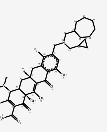 CN(C)[C@@H]1C(O)=C(C(N)=O)C(=O)[C@@]2(O)C(O)=C3C(=O)c4c(O)cc(CN(CC5CCCCCC5)CC5CC5)c(F)c4C[C@H]3CC12